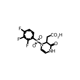 O=C(O)CC1C(=O)NC=CN1S(=O)(=O)c1ccc(F)c(F)c1F